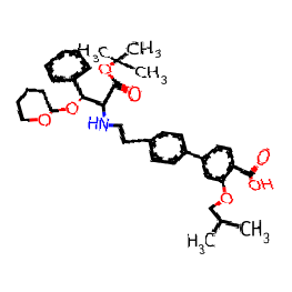 CC(C)COc1cc(-c2ccc(CCNC(C(=O)OC(C)(C)C)[C@H](OC3CCCCO3)c3ccccc3)cc2)ccc1C(=O)O